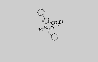 CCOC(=O)c1cc(-c2ccccc2)sc1N(C(=O)CC1CCCCC1)C(C)C